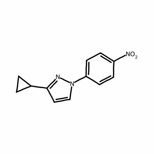 O=[N+]([O-])c1ccc(-n2ccc(C3CC3)n2)cc1